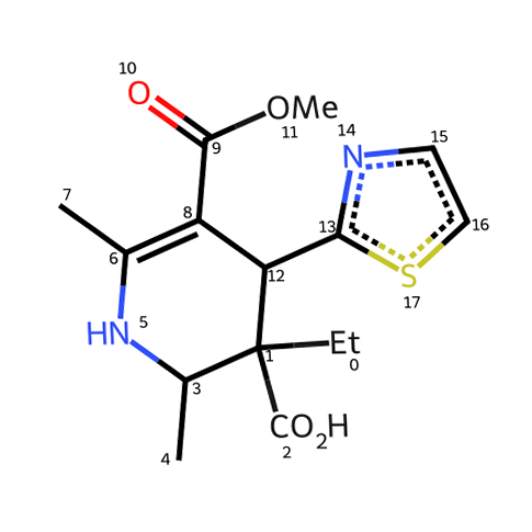 CCC1(C(=O)O)C(C)NC(C)=C(C(=O)OC)C1c1nccs1